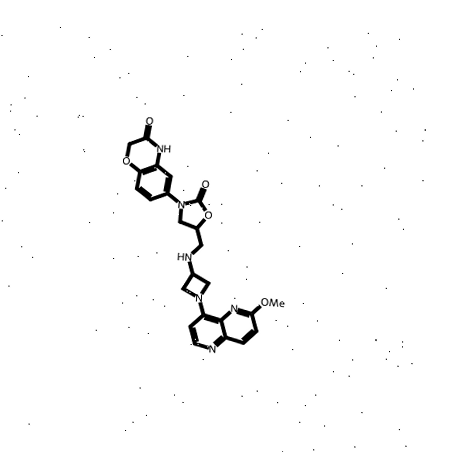 COc1ccc2nccc(N3CC(NCC4CN(c5ccc6c(c5)NC(=O)CO6)C(=O)O4)C3)c2n1